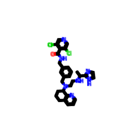 CC(NCCN(Cc1cccc(CNC(=O)c2c(Cl)cncc2Cl)c1)C1CCCc2cccnc21)c1ncc[nH]1